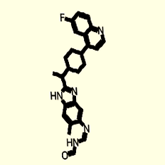 Cc1cc2[nH]c(C(C)C3CCC(c4ccnc5ccc(F)cc45)CC3)nc2cc1/N=C\NC=O